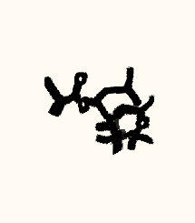 C=C(C)C(=O)OC(CC(C)C)[Si]1(C)CC(C)O[Si](C)(C)[Si]1(C)C